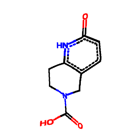 O=C(O)N1CCc2[nH]c(=O)ccc2C1